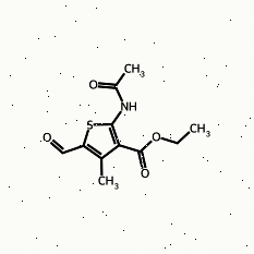 CCOC(=O)c1c(NC(C)=O)sc(C=O)c1C